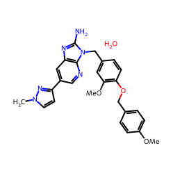 COc1ccc(COc2ccc(Cn3c(N)nc4cc(-c5ccn(C)n5)cnc43)cc2OC)cc1.O